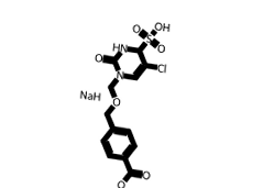 COC(=O)c1ccc(COCN2C=C(Cl)C(S(=O)(=O)O)NC2=O)cc1.[NaH]